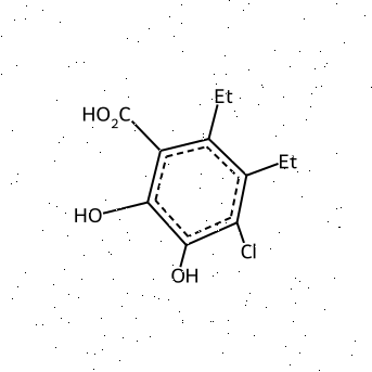 CCc1c(Cl)c(O)c(O)c(C(=O)O)c1CC